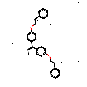 CC=C(c1ccc(OCCc2ccccc2)cc1)c1ccc(OCCc2ccccc2)cc1